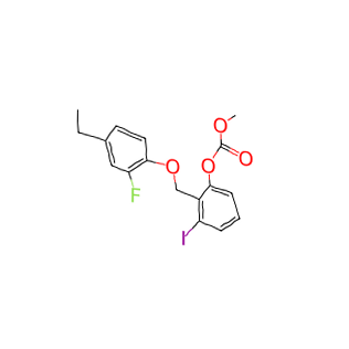 CCc1ccc(OCc2c(I)cccc2OC(=O)OC)c(F)c1